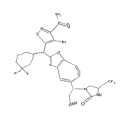 CCc1c(C(N)=O)noc1C(c1nc2cc(C(COC)N3CC(C(F)(F)F)NC3=O)ccc2o1)C1CCCC(F)(F)C1